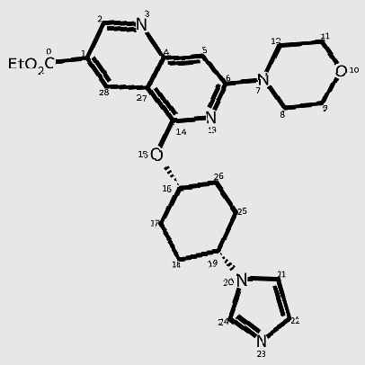 CCOC(=O)c1cnc2cc(N3CCOCC3)nc(O[C@H]3CC[C@@H](n4ccnc4)CC3)c2c1